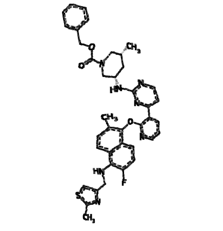 Cc1nc(CNc2c(F)ccc3c(Oc4ncccc4-c4ccnc(N[C@H]5C[C@@H](C)CN(C(=O)OCc6ccccc6)C5)n4)c(C)ccc23)cs1